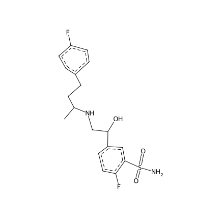 CC(CCc1ccc(F)cc1)NCC(O)c1ccc(F)c(S(N)(=O)=O)c1